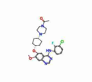 COc1cc2ncnc(Nc3cccc(Cl)c3F)c2cc1O[C@H]1CC[C@@H](N2CCN(C(C)=O)CC2)CC1